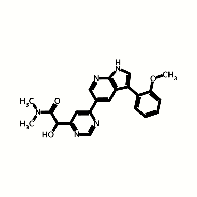 COc1ccccc1-c1c[nH]c2ncc(-c3cc(C(O)C(=O)N(C)C)ncn3)cc12